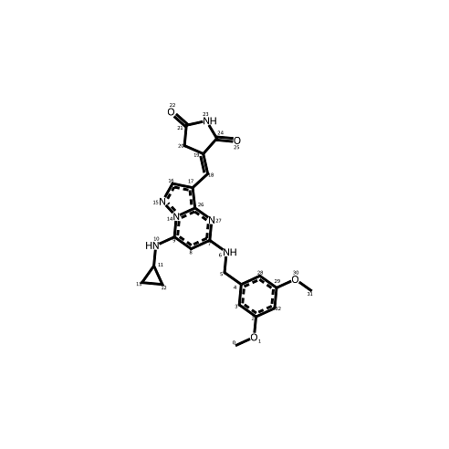 COc1cc(CNc2cc(NC3CC3)n3ncc(C=C4CC(=O)NC4=O)c3n2)cc(OC)c1